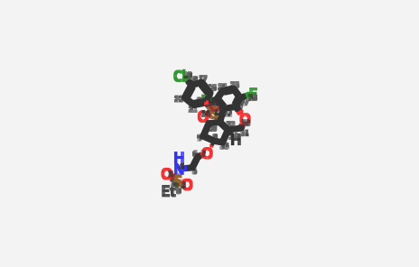 CCS(=O)(=O)NCCO[C@@H]1CC[C@@]2(S(=O)(=O)c3ccc(Cl)cc3)c3c(F)ccc(F)c3OC[C@H]2C1